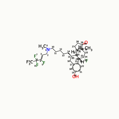 CN(CC=C(F)C(F)(F)C(F)(F)F)CCCCC[C@@H]1Cc2cc(O)ccc2[C@@H]2[C@@H]1[C@@H]1CCC(=O)[C@@]1(C)C[C@@H]2F